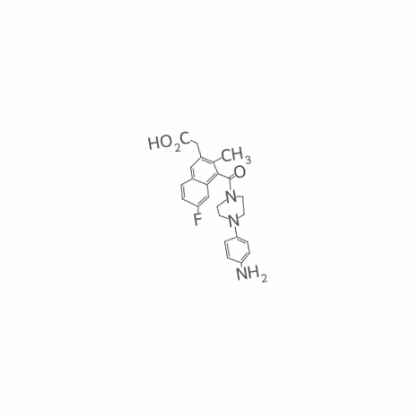 Cc1c(CC(=O)O)cc2ccc(F)cc2c1C(=O)N1CCN(c2ccc(N)cc2)CC1